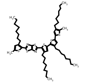 CCCCCCCCc1cc(-c2cc(CCCCCCCC)c(-c3cc(CCCCCCCC)c(-c4nc5sc(-c6sc(C)cc6CCCCCCCC)nc5s4)s3)s2)sc1C